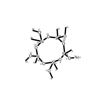 [3H]O[Si]1(C)O[Si](C)(OC)O[Si](C)(OC)O[Si](C)(OC)O[Si](C)(OC)O1